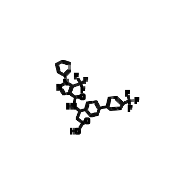 O=C(O)CC(NC(=O)c1cnn(-c2ccccc2)c1C(F)(F)F)c1ccc(-c2ccc(C(F)(F)F)cc2)cc1